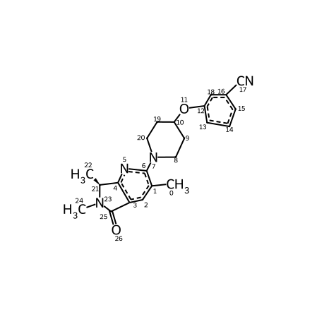 Cc1cc2c(nc1N1CCC(Oc3cccc(C#N)c3)CC1)[C@H](C)N(C)C2=O